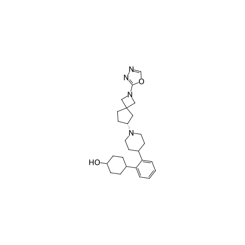 OC1CCC(c2ccccc2C2CCN([C@@H]3CCC4(C3)CN(c3nnco3)C4)CC2)CC1